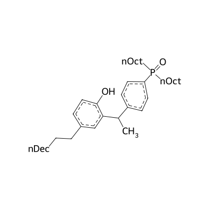 CCCCCCCCCCCCc1ccc(O)c(C(C)c2ccc(P(=O)(CCCCCCCC)CCCCCCCC)cc2)c1